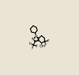 O[C@H]1c2c(C(F)(F)F)nn(C3CCCCC3)c2CCC1(F)F